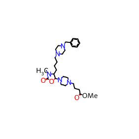 COC(=O)CCCN1CCN(C2OC(=O)N(C)C2CCCCN2CCN(Cc3ccccc3)CC2)CC1